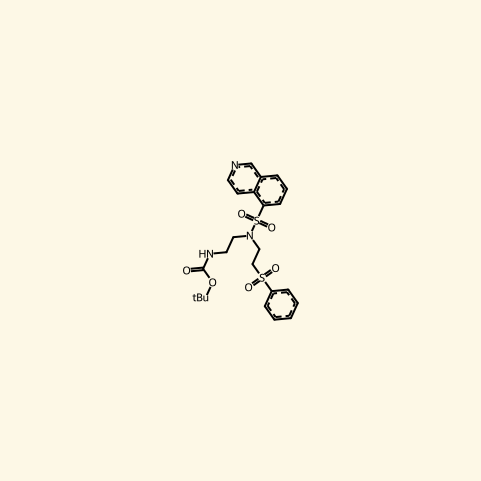 CC(C)(C)OC(=O)NCCN(CCS(=O)(=O)c1ccccc1)S(=O)(=O)c1cccc2cnccc12